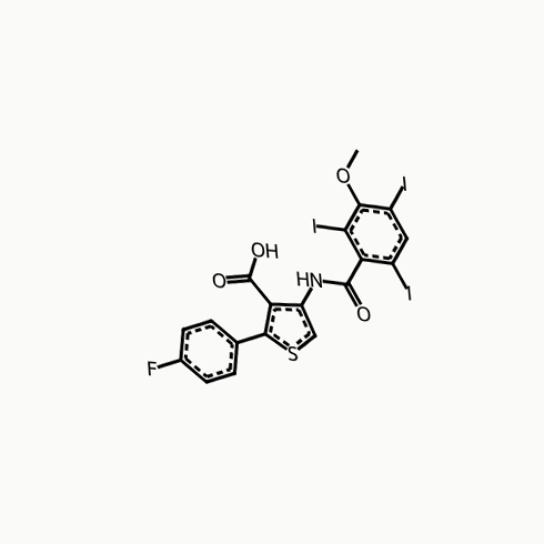 COc1c(I)cc(I)c(C(=O)Nc2csc(-c3ccc(F)cc3)c2C(=O)O)c1I